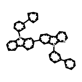 c1ccc(-c2cccc(-n3c4ccccc4c4ccc(-c5ccc6c7cccnc7n(-c7cccc(-c8ccccc8)c7)c6c5)cc43)c2)cc1